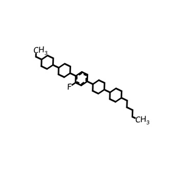 CCCCCC1CCC(C2CCC(c3ccc(C4CCC(C5CCC(CC)CC5)CC4)c(F)c3)CC2)CC1